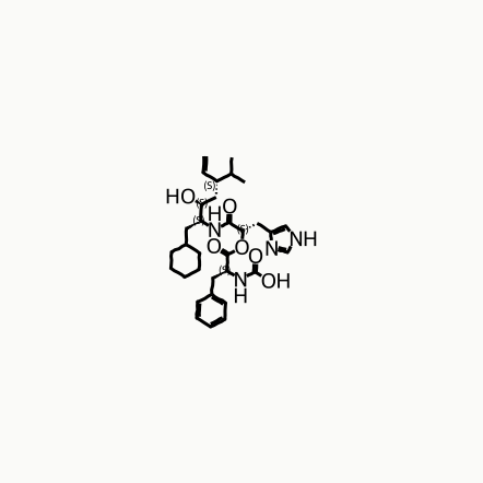 C=C[C@@H](C[C@H](O)[C@H](CC1CCCCC1)NC(=O)[C@H](Cc1c[nH]cn1)OC(=O)[C@H](Cc1ccccc1)NC(=O)O)C(C)C